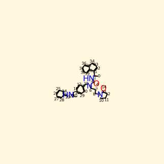 CC(NC(=O)N(CCCN1CCCC1=O)Cc1ccc(CNCc2ccccc2)cc1)c1cccc2ccccc12